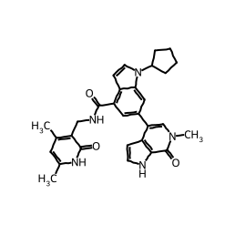 Cc1cc(C)c(CNC(=O)c2cc(-c3cn(C)c(=O)c4[nH]ccc34)cc3c2ccn3C2CCCC2)c(=O)[nH]1